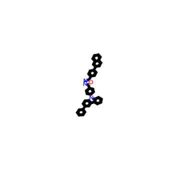 c1ccc(-c2ccc3c(c2)c2ccccc2n3-c2ccc(-c3nnc(-c4ccc(-c5ccc6ccccc6c5)cc4)o3)cc2)cc1